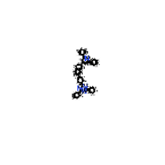 c1ccc(-c2cc(-c3ccc4ccc(-c5ccc(-c6nc(-c7ccccc7)nc(-c7ccccc7)n6)cc5)cc4c3)cc(-c3ccccc3)n2)cc1